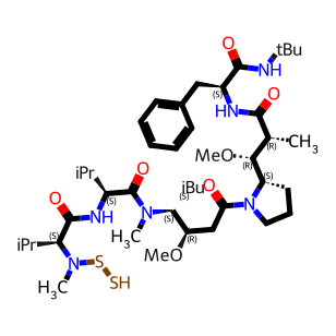 CC[C@H](C)[C@@H]([C@@H](CC(=O)N1CCC[C@H]1[C@H](OC)[C@@H](C)C(=O)N[C@@H](Cc1ccccc1)C(=O)NC(C)(C)C)OC)N(C)C(=O)[C@@H](NC(=O)[C@H](C(C)C)N(C)SS)C(C)C